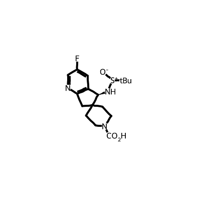 CC(C)(C)[S+]([O-])N[C@@H]1c2cc(F)cnc2CC12CCN(C(=O)O)CC2